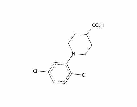 O=C(O)C1CCN(c2cc(Cl)ccc2Cl)CC1